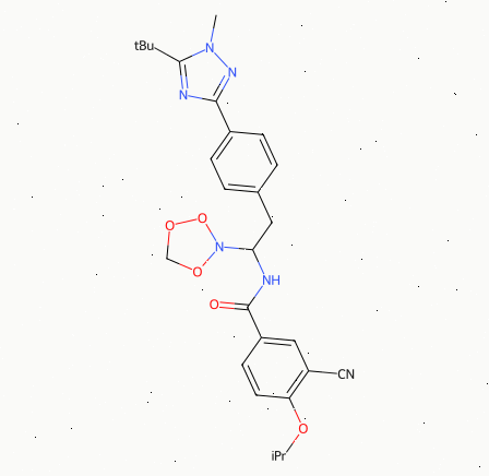 CC(C)Oc1ccc(C(=O)NC(Cc2ccc(-c3nc(C(C)(C)C)n(C)n3)cc2)N2OCOO2)cc1C#N